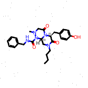 CCCCN1C[C@H]2N(C(=O)CN(C)N2C(=O)NCc2ccccc2)[C@@H](Cc2ccc(O)cc2)C1=O